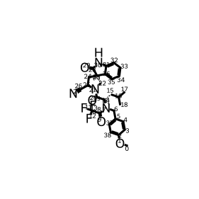 COc1ccc(CN(C(=O)C(F)(F)F)[C@@H](CC(C)C)C(=O)N2C[C@]3(CC2C#N)C(=O)Nc2ccccc23)cc1